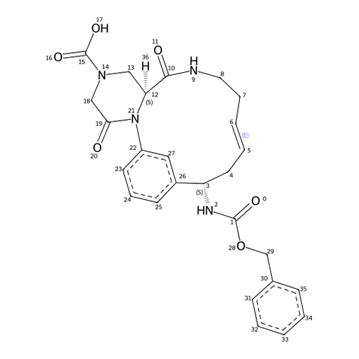 O=C(N[C@H]1C/C=C/CCNC(=O)[C@@H]2CN(C(=O)O)CC(=O)N2c2cccc1c2)OCc1ccccc1